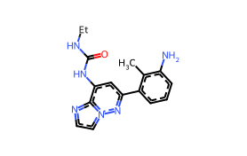 CCNC(=O)Nc1cc(-c2cccc(N)c2C)nn2ccnc12